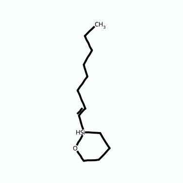 CCCCCCC=C[SiH]1CCCCO1